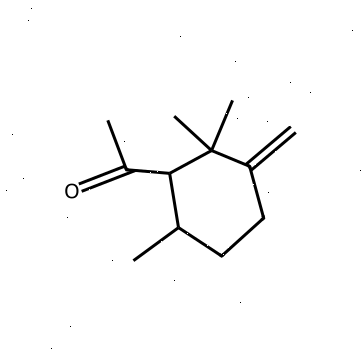 C=C1CCC(C)C(C(C)=O)C1(C)C